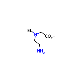 CCN(CCN)CC(=O)O